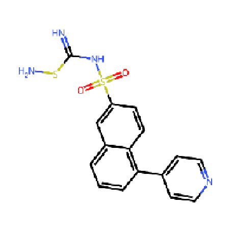 N=C(NS(=O)(=O)c1ccc2c(-c3ccncc3)cccc2c1)SN